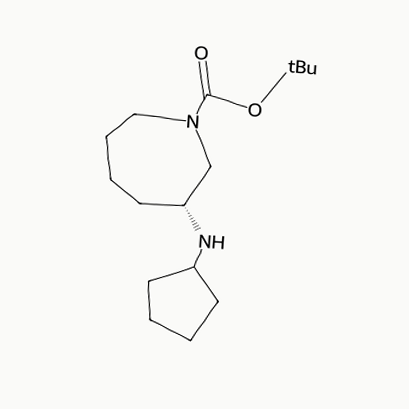 CC(C)(C)OC(=O)N1CCCC[C@@H](NC2CCCC2)C1